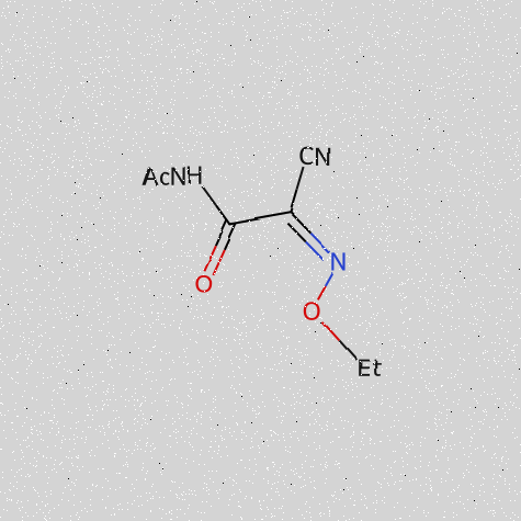 CCON=C(C#N)C(=O)NC(C)=O